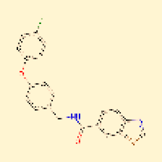 O=C(NCc1ccc(Oc2ccc(F)cc2)cc1)c1ccc2ncsc2c1